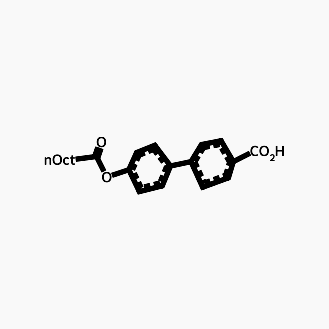 CCCCCCCCC(=O)Oc1ccc(-c2ccc(C(=O)O)cc2)cc1